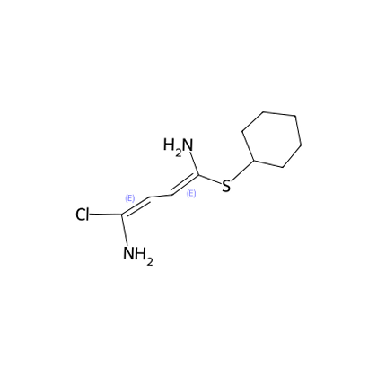 N/C(Cl)=C\C=C(/N)SC1CCCCC1